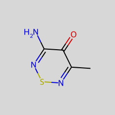 Cc1nsnc(N)c1=O